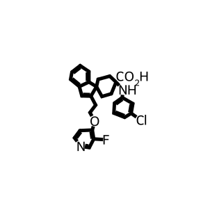 O=C(O)C1(Nc2cccc(Cl)c2)CCC2(CC1)C(CCOc1ccncc1F)=Cc1ccccc12